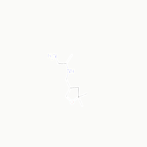 CC(CN)NCC1COC(C)(C)C1